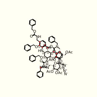 CC(=O)OC[C@H]1O[C@@H](O[C@@H]2[C@@H](O)[C@H](NC(=O)[C@H](CCNC(=O)OCc3ccccc3)OCc3ccccc3)[C@@H](OCc3ccccc3)[C@H](NC(=O)OCc3ccccc3)[C@H]2O[C@H]2O[C@H](CN(Cc3ccccc3)C(=O)OCc3ccccc3)CC[C@H]2N=[N+]=[N-])[C@H](OC(C)=O)[C@@H]1O[C@H]1O[C@@H](CN=[N+]=[N-])[C@@H](OC(C)=O)[C@H](OC(C)=O)[C@H]1N=[N+]=[N-]